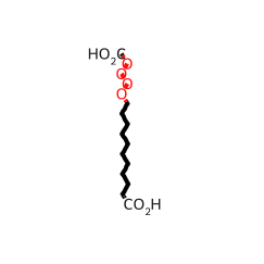 O=C(O)CCCCCCCCCCOOOOC(=O)O